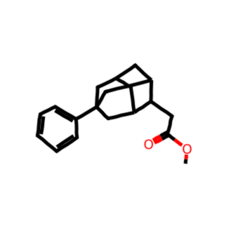 COC(=O)CC1C2CC3CC1CC(c1ccccc1)(C3)C2